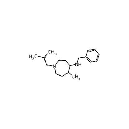 C[C](C)CN1CCC(C)C(NCc2ccccc2)CC1